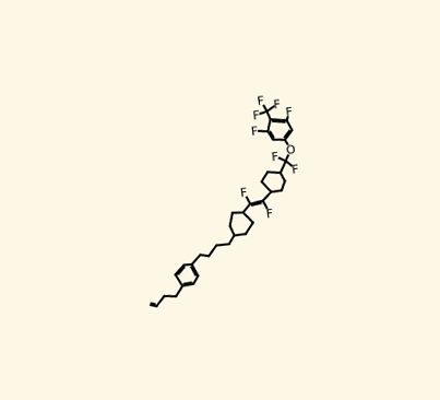 C=CCCc1ccc(CCCCC2CCC(/C(F)=C(\F)C3CCC(C(F)(F)Oc4cc(F)c(C(F)(F)F)c(F)c4)CC3)CC2)cc1